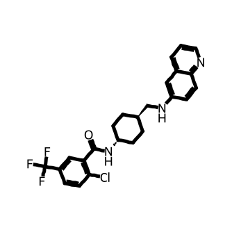 O=C(N[C@H]1CC[C@H](CNc2ccc3ncccc3c2)CC1)c1cc(C(F)(F)F)ccc1Cl